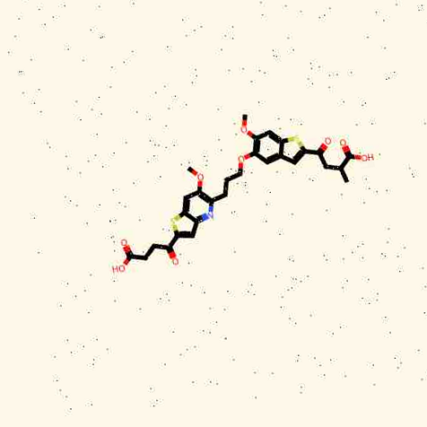 COc1cc2sc(C(=O)CC(C)C(=O)O)cc2cc1OCCCc1nc2cc(C(=O)CCC(=O)O)sc2cc1OC